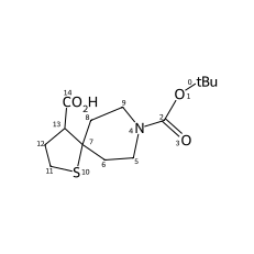 CC(C)(C)OC(=O)N1CCC2(CC1)SCCC2C(=O)O